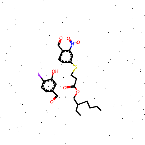 CCCCC(CC)COC(=O)CCSc1ccc(C=O)c([N+](=O)[O-])c1.O=Cc1ccc(I)c(O)c1